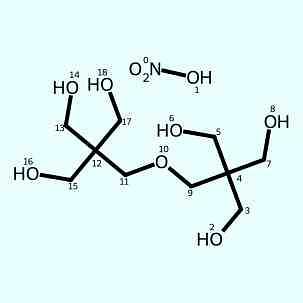 O=[N+]([O-])O.OCC(CO)(CO)COCC(CO)(CO)CO